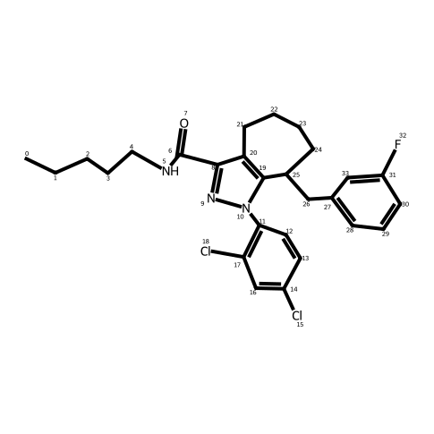 CCCCCNC(=O)c1nn(-c2ccc(Cl)cc2Cl)c2c1CCCCC2Cc1cccc(F)c1